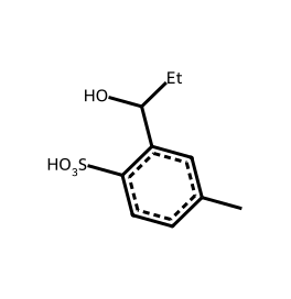 CCC(O)c1cc(C)ccc1S(=O)(=O)O